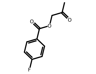 CC(=O)COC(=O)c1ccc(F)cc1